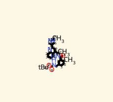 Cc1ccc(CNC(=O)OC(C)(C)C)cc1C(=O)N[C@H](C)c1cc(-c2cnn(C)c2)nc2ccccc12